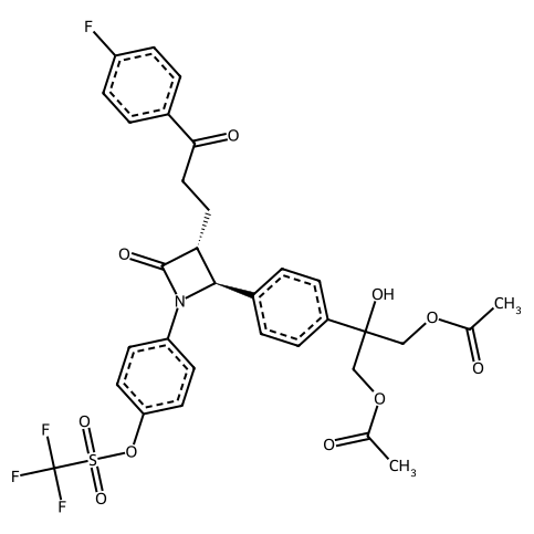 CC(=O)OCC(O)(COC(C)=O)c1ccc([C@@H]2[C@@H](CCC(=O)c3ccc(F)cc3)C(=O)N2c2ccc(OS(=O)(=O)C(F)(F)F)cc2)cc1